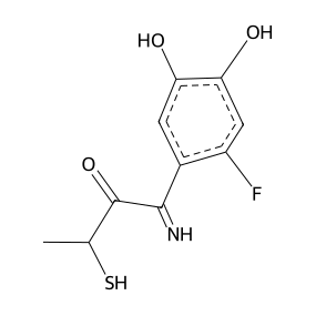 CC(S)C(=O)C(=N)c1cc(O)c(O)cc1F